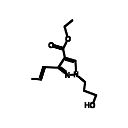 C/C=C/c1nn(CCCO)cc1C(=O)OCC